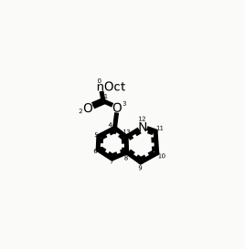 CCCCCCCCC(=O)Oc1cccc2cccnc12